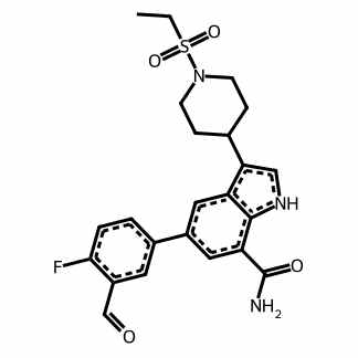 CCS(=O)(=O)N1CCC(c2c[nH]c3c(C(N)=O)cc(-c4ccc(F)c(C=O)c4)cc23)CC1